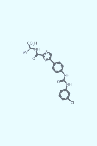 CC(C)[C@H](NC(=O)c1nc(-c2ccc(NC(=O)Nc3cccc(Cl)c3)cc2)cs1)C(=O)O